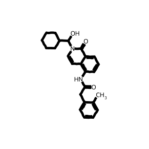 Cc1ccccc1CC(=O)Nc1cccc2c(=O)n(C(O)C3CCCCC3)ccc12